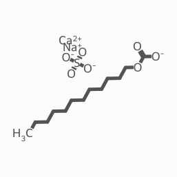 CCCCCCCCCCCCOC(=O)[O-].O=S(=O)([O-])[O-].[Ca+2].[Na+]